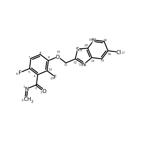 C=NC(=O)c1c(F)ccc(OCc2nc3cc(Cl)cnc3s2)c1F